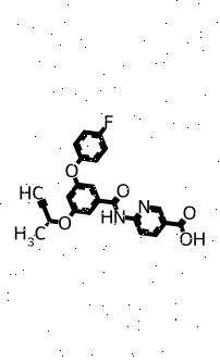 C#C[C@H](C)Oc1cc(Oc2ccc(F)cc2)cc(C(=O)Nc2ccc(C(=O)O)cn2)c1